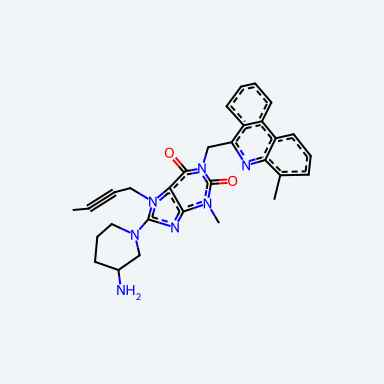 CC#CCn1c(N2CCCC(N)C2)nc2c1c(=O)n(Cc1nc3c(C)cccc3c3ccccc13)c(=O)n2C